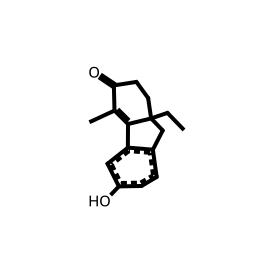 CCC12CCC(=O)C(C)=C1c1cc(O)ccc1C2